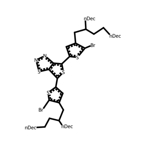 CCCCCCCCCCCCC(CCCCCCCCCC)Cc1cc(-c2sc(-c3cc(CC(CCCCCCCCCC)CCCCCCCCCCCC)c(Br)s3)c3snnc23)sc1Br